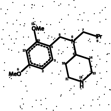 COc1ccc(CN(CC(C)C)C2CCNCC2)c(OC)c1